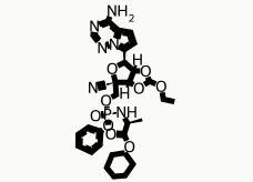 CCOC1O[C@H]2[C@H](c3ccc4c(N)ncnn34)O[C@](C#N)(CO[P@@](=O)(N[C@@H](C)C(=O)OC3CCCCC3)Oc3ccccc3)[C@H]2O1